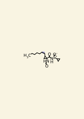 CCCCC/C=C\C1CC1(NC=O)C(=O)N[S+]([O-])C1CC1